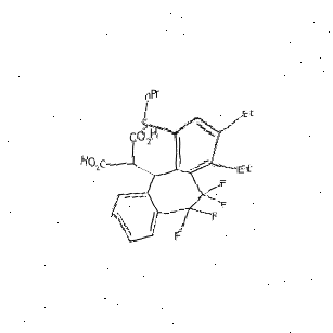 CCCSc1cc(CC)c(CC)c2c1C(C(C(=O)O)C(=O)O)c1ccccc1C(F)(F)C2(F)F